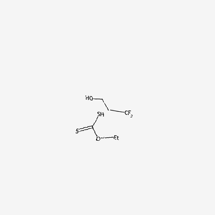 CCOC(=S)S.OCCC(F)(F)F